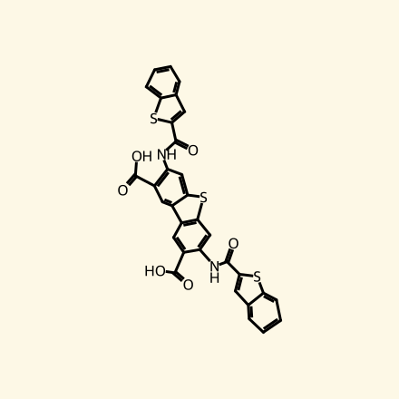 O=C(Nc1cc2sc3cc(NC(=O)c4cc5ccccc5s4)c(C(=O)O)cc3c2cc1C(=O)O)c1cc2ccccc2s1